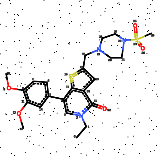 CCn1cc(-c2ccc(OC)c(OC)c2)c2sc(CN3CCN(S(C)(=O)=O)CC3)cc2c1=O